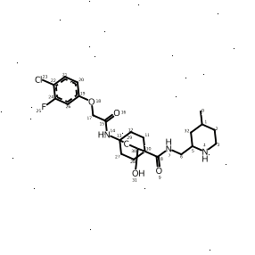 CC1CCNC(CNC(=O)C23CCC(NC(=O)COc4ccc(Cl)c(F)c4)(CC2)CC3O)C1